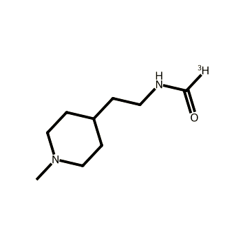 [3H]C(=O)NCCC1CCN(C)CC1